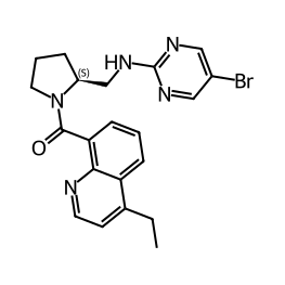 CCc1ccnc2c(C(=O)N3CCC[C@H]3CNc3ncc(Br)cn3)cccc12